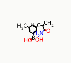 C=C(C)C(N)=O.Cc1cccc(B(O)O)c1